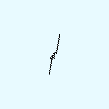 CCCCCCC=CCCCCCCCCCCC(C)CC(C)CC(C)CC(C)C(=O)OCCCCCCCCCCCCCCCC